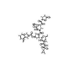 C=CC1C[C@]1(NC(=O)[C@@H]1C[C@@H](OC(=O)N2Cc3cccc(F)c3C2)CN1C(=O)[C@H](CCNC(=O)[C@@H]1CCC(=O)O1)NC(=O)OC(C)(C)C)C(=O)NS(=O)(=O)C1CC1